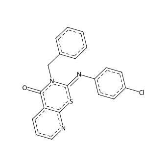 O=c1c2cccnc2sc(=Nc2ccc(Cl)cc2)n1Cc1ccccc1